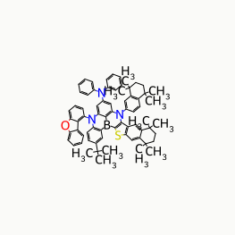 CC(C)(C)c1ccc2c(c1)B1c3sc4cc5c(cc4c3N(c3ccc4c(c3)C(C)(C)CCC4(C)C)c3cc(N(c4ccccc4)c4ccccc4)cc(c31)N2c1cccc2oc3ccccc3c12)C(C)(C)CCC5(C)C